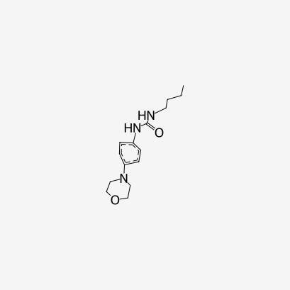 CCCCNC(=O)Nc1ccc(N2CCOCC2)cc1